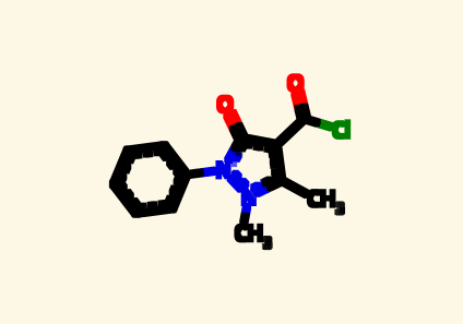 Cc1c(C(=O)Cl)c(=O)n(-c2ccccc2)n1C